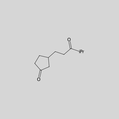 CC(C)C(=O)CCC1CCC(=O)C1